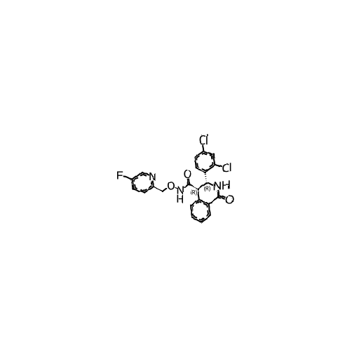 O=C1N[C@@H](c2ccc(Cl)cc2Cl)[C@H](C(=O)NOCc2ccc(F)cn2)c2ccccc21